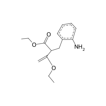 C=C(OCC)C(Cc1ccccc1N)C(=O)OCC